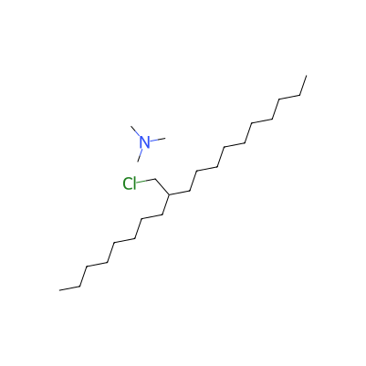 CCCCCCCCCCC(CCl)CCCCCCCC.CN(C)C